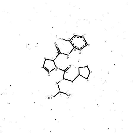 O=CN(O)C[C@@H](CC1CCCC1)C(=O)N1N=CC[C@H]1C(=O)Nc1ncncc1F